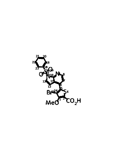 COc1c(C(=O)O)sc(-c2ccnc3c2ccn3S(=O)(=O)c2ccccc2)c1Br